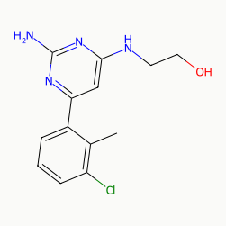 Cc1c(Cl)cccc1-c1cc(NCCO)nc(N)n1